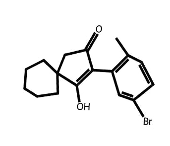 Cc1ccc(Br)cc1C1=C(O)C2(CCCCC2)CC1=O